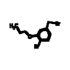 CCCOc1cc(CBr)ccc1Br